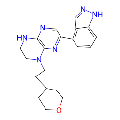 c1cc(-c2cnc3c(n2)N(CCC2CCOCC2)CCN3)c2cn[nH]c2c1